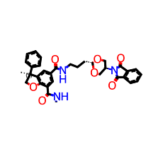 CNC(=O)c1cc(C(=O)NCCC[C@H]2OC[C@H](N3C(=O)c4ccccc4C3=O)CO2)cc2c1OC[C@@]2(C)c1ccccc1